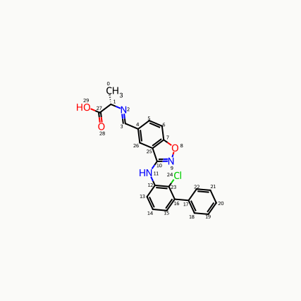 C[C@H](N=Cc1ccc2onc(Nc3cccc(-c4ccccc4)c3Cl)c2c1)C(=O)O